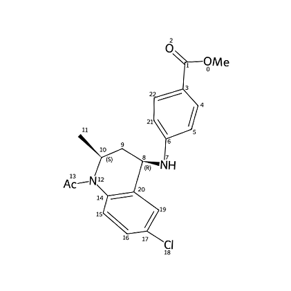 COC(=O)c1ccc(N[C@@H]2C[C@H](C)N(C(C)=O)c3ccc(Cl)cc32)cc1